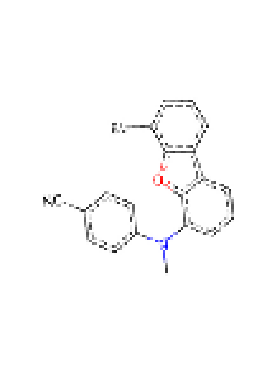 CCc1cccc2c1oc1c(N(C)c3ccc(C#N)cc3)cccc12